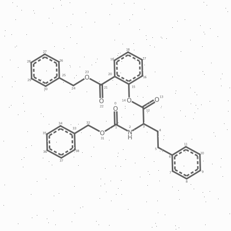 O=C(NC(CCc1ccccc1)C(=O)Oc1ccccc1C(=O)OCc1ccccc1)OCc1ccccc1